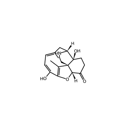 CC1=C2O[C@H]3C(=O)CC[C@@]4(O)[C@@H](C/C(C)=C/C=C\2O)NCC[C@]134